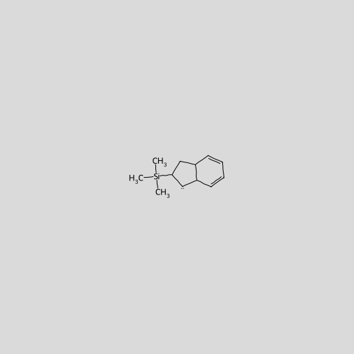 C[Si](C)(C)C1[C]C2C=CC=CC2C1